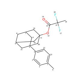 Cc1ccc(C23CC4CC(CC(OC(=O)C(C)(F)F)(C4)C2)C3)cc1